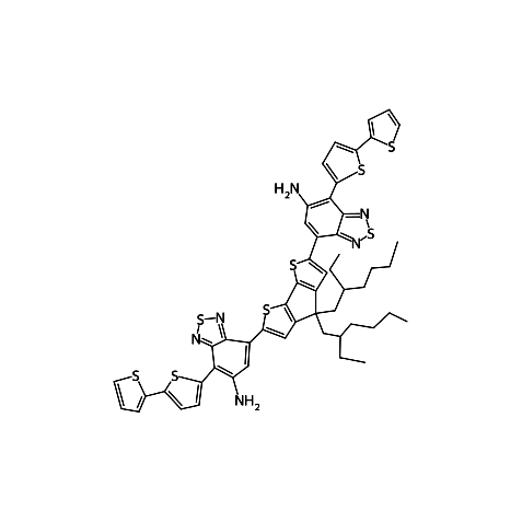 CCCCC(CC)CC1(CC(CC)CCCC)c2cc(-c3cc(N)c(-c4ccc(-c5cccs5)s4)c4nsnc34)sc2-c2sc(-c3cc(N)c(-c4ccc(-c5cccs5)s4)c4nsnc34)cc21